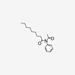 CCCCCCCCC(=O)N(C(C)=O)c1ccccc1